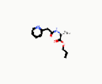 C=CCOC(=O)[C@@H](NC(=O)Cc1ccccn1)[C@@H](C)CC